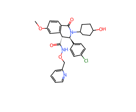 COc1ccc2c(c1)[C@@H](C(=O)NOCc1ccccn1)[C@H](c1ccc(Cl)cc1)N(C1CCC(O)CC1)C2=O